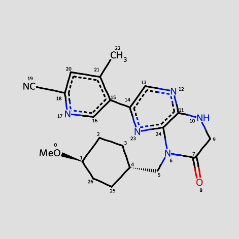 CO[C@H]1CC[C@H](CN2C(=O)CNc3ncc(-c4cnc(C#N)cc4C)nc32)CC1